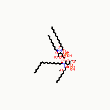 CCCCCC/C=C\CCCCCCCCCC(=O)N[C@H]1[C@H](OCC2O[C@H](O)[C@H](OCCCCCCCCCC)[C@@H](NC(=O)CC(=O)CCCCCCCCCCC)[C@H]2OP(=O)(O)O)O[C@H](COC)[C@@H](OP(=O)(O)O)[C@@H]1OCC[C@@H](CCCCCCC)OC